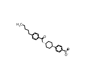 CCCCCc1ccc(C(=O)C[C@H]2CC[C@H](c3ccc([N+](=O)[O-])cc3)CC2)cc1